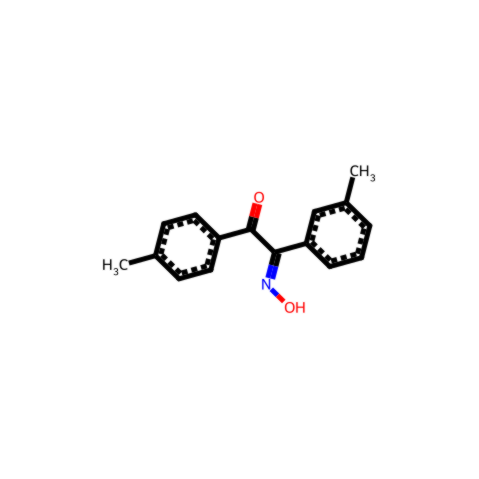 Cc1ccc(C(=O)C(=NO)c2cccc(C)c2)cc1